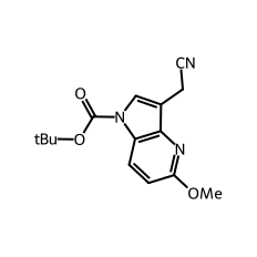 COc1ccc2c(n1)c(CC#N)cn2C(=O)OC(C)(C)C